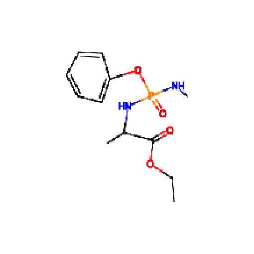 CCOC(=O)C(C)NP(=O)(NC)Oc1ccccc1